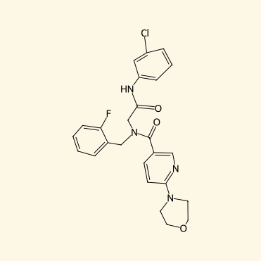 O=C(CN(Cc1ccccc1F)C(=O)c1ccc(N2CCOCC2)nc1)Nc1cccc(Cl)c1